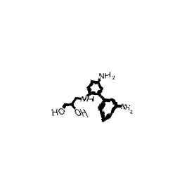 Nc1cccc(-c2cc(N)ccc2NCC(O)CO)c1